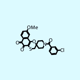 COc1ccc2c(c1)C1=C(SCC3(CCN(C(=O)c4cccc(Cl)c4)CC3)O1)C(=O)C2=O